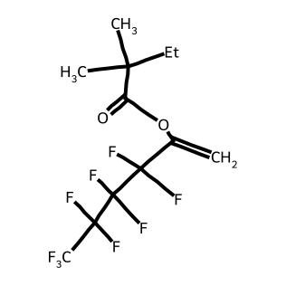 C=C(OC(=O)C(C)(C)CC)C(F)(F)C(F)(F)C(F)(F)C(F)(F)F